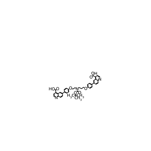 CC(C)(C)OC(=O)N(CCCOc1ccc(-c2ccc3nccc(C(=O)O)c3c2)cc1)CCOc1ccc(-c2ccc3nccc(C(=O)O)c3c2)cc1